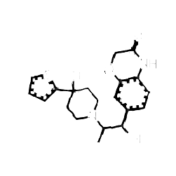 CC(C(O)c1ccc2c(c1)OCC(=O)N2)N1CCC(O)(c2cccs2)CC1